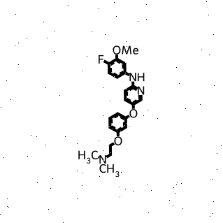 COc1cc(Nc2ccc(Oc3cccc(OCCN(C)C)c3)cn2)ccc1F